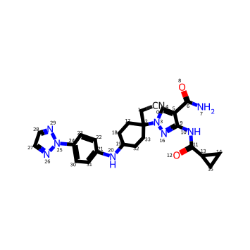 N#CCC1(n2cc(C(N)=O)c(NC(=O)C3CC3)n2)CCC(Nc2ccc(-n3nccn3)cc2)CC1